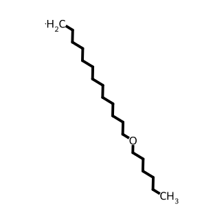 [CH2]CCCCCCCCCCCCOCCCCCC